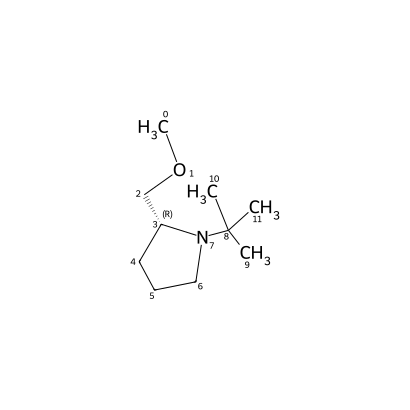 COC[C@H]1CCCN1C(C)(C)C